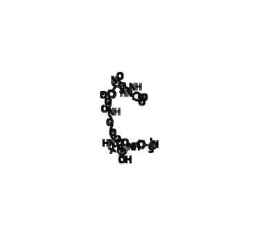 COc1cc(-c2cn(C)c(=O)c3cc(C(=N)NC4CCS(=O)(=O)CC4)sc23)ccc1OCC(=O)NCCOCCOCC(=O)NC(C(=O)N1C[C@H](O)C[C@H]1C(=O)NCc1ccc(-c2scnc2C)cc1)C(C)(C)C